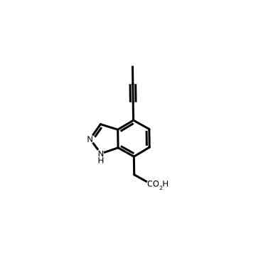 CC#Cc1ccc(CC(=O)O)c2[nH]ncc12